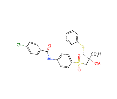 O=C(Nc1ccc(S(=O)(=O)CC(O)(CSc2ccccc2)C(=O)O)cc1)c1ccc(Cl)cc1